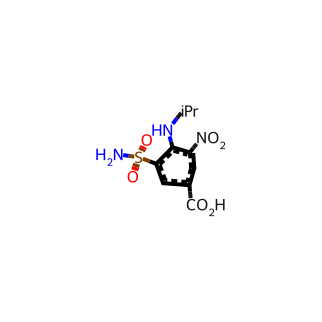 CC(C)Nc1c([N+](=O)[O-])cc(C(=O)O)cc1S(N)(=O)=O